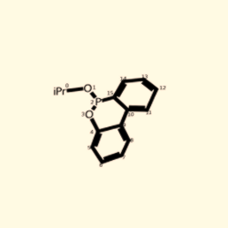 CC(C)OP1Oc2ccccc2-c2ccccc21